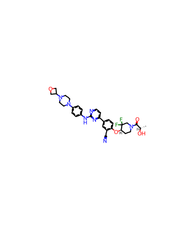 C[C@H](O)C(=O)N1CC[C@@H](Oc2ccc(-c3ccnc(Nc4ccc(N5CCN(C6COC6)CC5)cc4)n3)cc2C#N)C(F)(F)C1